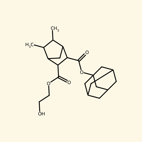 CC1C(C)C2CC1C(C(=O)OCCO)C2C(=O)OC12CC3CC(CC(C3)C1)C2